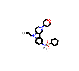 C=CCN1c2ccc(N(C)S(=O)(=O)c3ccccc3)cc2C2CN(C3CCOCC3)CCC21